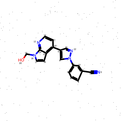 N#Cc1cccc(-n2cc(-c3ccnc4c3ccn4CO)cn2)c1